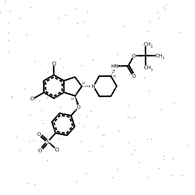 CC(C)(C)OC(=O)N[C@@H]1CCCN([C@H]2Cc3c(Cl)cc(Cl)cc3[C@@H]2Oc2ccc(S(=O)(=O)Cl)cc2)C1